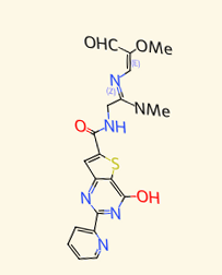 CN/C(CNC(=O)c1cc2nc(-c3ccccn3)nc(O)c2s1)=N\C=C(/C=O)OC